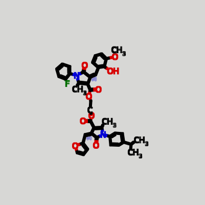 COc1cccc(/C=C2\C(=O)N(c3ccccc3F)C(C)=C2C(=O)OCCOC(=O)C2=C(C)N(c3ccc(C(C)C)cc3)C(=O)/C2=C\c2ccco2)c1O